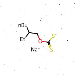 CCCCC(CC)COC(=S)[S-].[Na+]